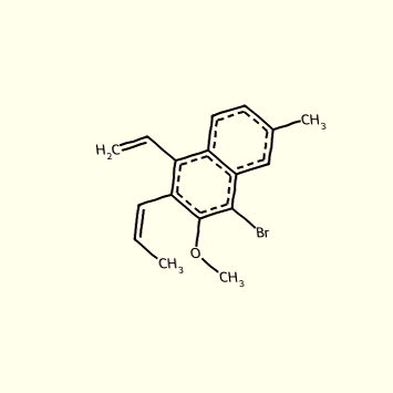 C=Cc1c(/C=C\C)c(OC)c(Br)c2cc(C)ccc12